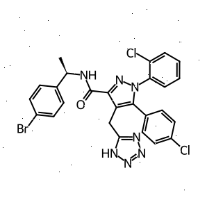 C[C@@H](NC(=O)c1nn(-c2ccccc2Cl)c(-c2ccc(Cl)cc2)c1Cc1nnn[nH]1)c1ccc(Br)cc1